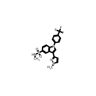 CNS(=O)(=O)c1ccc2c(c1)c(-c1ccn(C)n1)cn2-c1ccc(C(F)(F)F)cc1